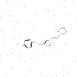 COc1ccc(SCc2cn(CCN3CCCCC3)nn2)cc1